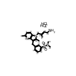 Cc1ccc2c(n1)c(Cc1cccc(S(=O)(=O)N(C)C)c1)c(C)n2CC(F)=CCN.Cl.Cl